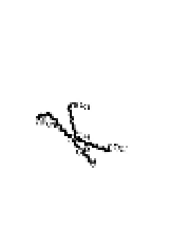 CCCCC/C=C\C/C=C\CCCCCCCCOC(CCOC(=O)CCCN(C)C)C(O)(CCCCCCCC/C=C\CCCCCCCC)CCCCCCCC/C=C\CCCCCCCC